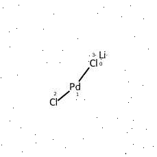 [Cl][Pd][Cl].[Li]